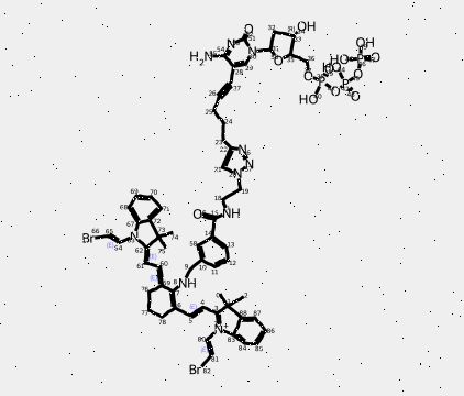 CC1(C)C(/C=C/C2=C(NCc3cccc(C(=O)NCCn4cc(CCCC#Cc5cn(C6C[C@@H](O)C(COP(=O)(O)OP(=O)(O)OP(=O)(O)O)O6)c(=O)nc5N)nn4)c3)C(=C/C=C3/N(/C=C/Br)c4ccccc4C3(C)C)/CCC2)=[N+](/C=C/Br)c2ccccc21